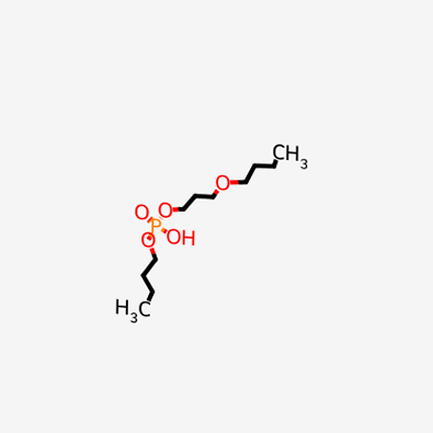 CCCCOCCCOP(=O)(O)OCCCC